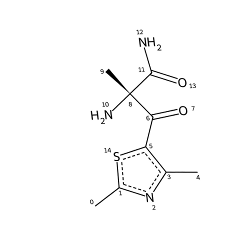 Cc1nc(C)c(C(=O)[C@](C)(N)C(N)=O)s1